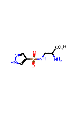 NC(CNS(=O)(=O)c1cn[nH]c1)C(=O)O